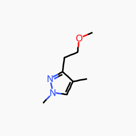 COCCc1nn(C)cc1C